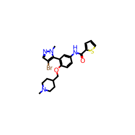 CN1CCC(COc2ccc(NC(=O)c3cccs3)cc2-c2c(Br)cnn2C)CC1